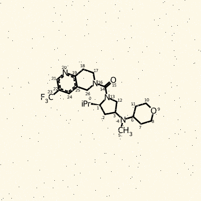 CC(C)[C@@H]1CC(N(C)C2CCOCC2)CN1C(=O)N1CCc2ncc(C(F)(F)F)cc2C1